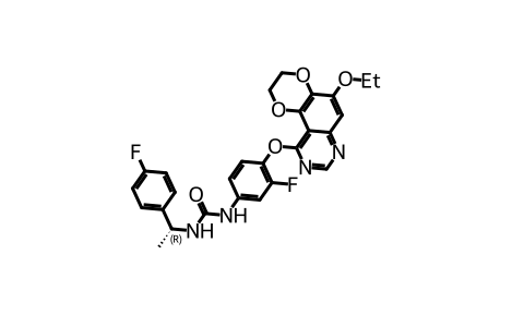 CCOc1cc2ncnc(Oc3ccc(NC(=O)N[C@H](C)c4ccc(F)cc4)cc3F)c2c2c1OCCO2